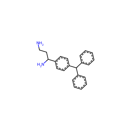 NCCC(N)c1ccc([C](c2ccccc2)c2ccccc2)cc1